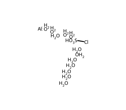 O.O.O.O.O.O.O.O.O.O.O.O.O=S(=O)(O)Cl.[Al]